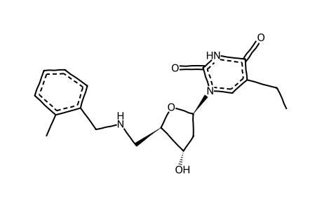 CCc1cn([C@H]2C[C@H](O)[C@@H](CNCc3ccccc3C)O2)c(=O)[nH]c1=O